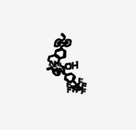 CCS(=O)(=O)c1ccc2c(c1)CCN(C(C)=O)[C@@H]2C(O)Nc1ccc(C(F)(C(F)(F)F)C(F)(F)F)cc1